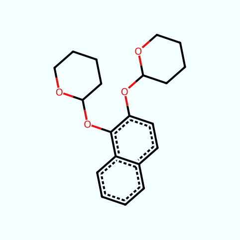 c1ccc2c(OC3CCCCO3)c(OC3CCCCO3)ccc2c1